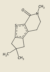 CN1CCc2c(sc3c2CC(C)(C)C3)C1=O